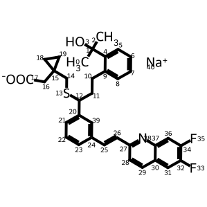 CC(C)(O)c1ccccc1CCC(SCC1(CC(=O)[O-])CC1)c1cccc(/C=C/c2ccc3cc(F)c(F)cc3n2)c1.[Na+]